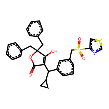 O=C1OC(Cc2ccccc2)(Cc2ccccc2)C(O)=C1C(c1cccc(CS(=O)(=O)c2cscn2)c1)C1CC1